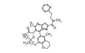 Cc1nc2cc(C(=O)N(C)CCc3ccccn3)nn2c(-c2cc(F)c3c(c2C)CCCO3)c1[C@H](OC(C)(C)C)C(=O)O